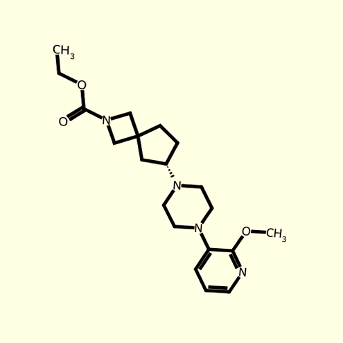 CCOC(=O)N1CC2(CC[C@H](N3CCN(c4cccnc4OC)CC3)C2)C1